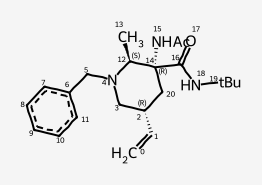 C=C[C@@H]1CN(Cc2ccccc2)[C@@H](C)[C@@](NC(C)=O)(C(=O)NC(C)(C)C)C1